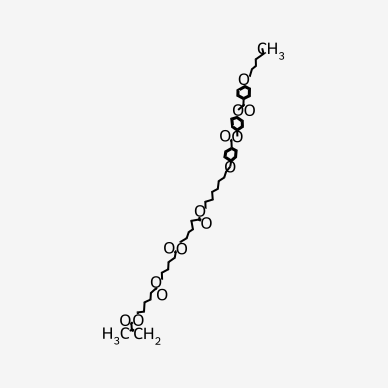 C=C(C)C(=O)OCCCCCC(=O)OCCCCCC(=O)OCCCCCC(=O)OCCCCCCCCOc1ccc(C(=O)Oc2ccc(OC(=O)c3ccc(OCCCCCC)cc3)cc2)cc1